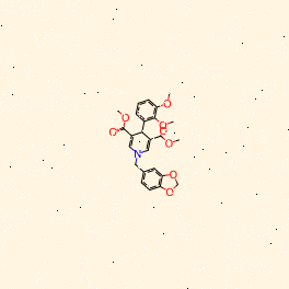 COC(=O)C1=CN(Cc2ccc3c(c2)OCO3)C=C(C(=O)OC)C1c1cccc(OC)c1OC